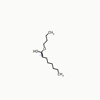 CCCCCC/C=C(/O)OCCCC